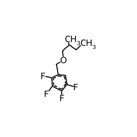 CCC(C)COCc1cc(F)c(F)c(F)c1F